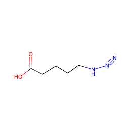 N#[N+]NCCCCC(=O)O